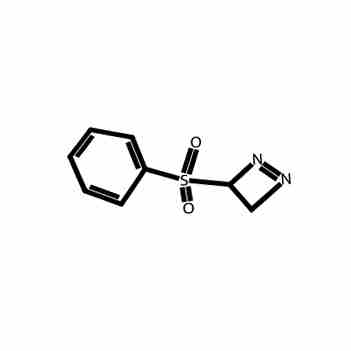 O=S(=O)(c1ccccc1)C1CN=N1